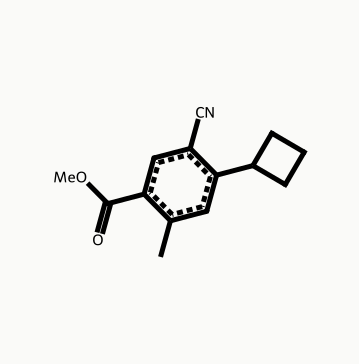 COC(=O)c1cc(C#N)c(C2CCC2)cc1C